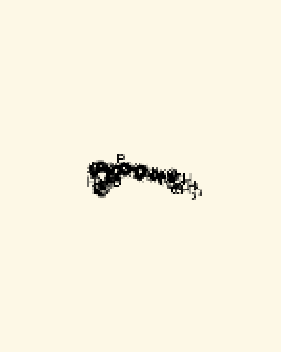 CC(C)(C)OC(=O)N1CC2(C1)CN(c1ccc(-c3cc(F)c4c(c3)C(=O)N(C(C(=O)Nc3nccs3)c3ncn5c3CCC5)C4)cc1)C2